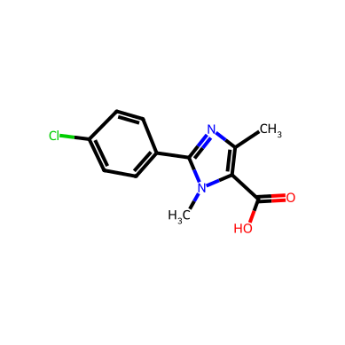 Cc1nc(-c2ccc(Cl)cc2)n(C)c1C(=O)O